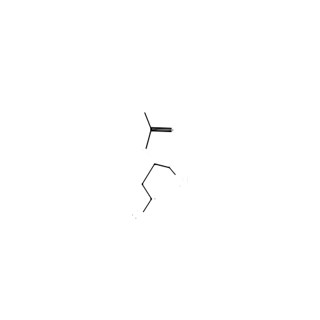 C=C(CC)C[C@H](CO)CCC#N